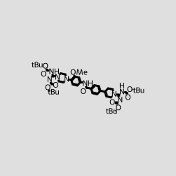 COc1cc(NC(=O)c2ccc(C3=CCN(/C(=N\C(=O)OC(C)(C)C)NC(=O)OC(C)(C)C)CC3)cc2)ccc1N1CCN(/C(=N\C(=O)OC(C)(C)C)NC(=O)OC(C)(C)C)CC1